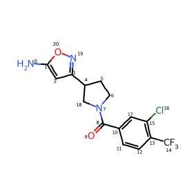 Nc1cc(C2CCN(C(=O)c3ccc(C(F)(F)F)c(Cl)c3)C2)no1